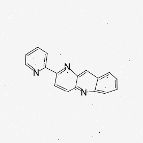 c1ccc(-c2ccc3nc4ccccc4cc3n2)nc1